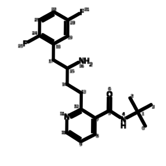 CC(C)(C)NC(=O)c1cccnc1CCC(N)Cc1cc(F)ccc1F